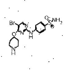 NS(=O)(=O)c1ccc(Nc2ncc(Br)c(OC3CCNCC3)n2)cc1